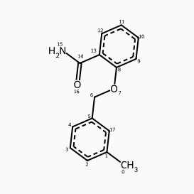 Cc1cccc(COc2ccccc2C(N)=O)c1